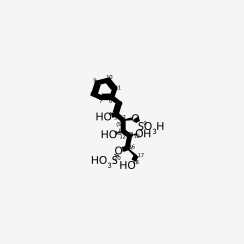 O=S(=O)(O)O[C@H](C(O)=Cc1ccccc1)[C@@H](O)[C@H](O)[C@@H](CO)OS(=O)(=O)O